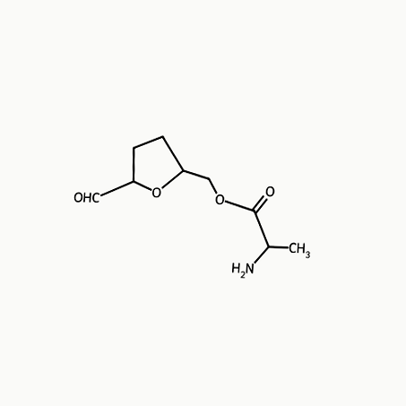 CC(N)C(=O)OCC1CCC(C=O)O1